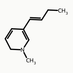 CC/C=C/C1=CN(C)CC=C1